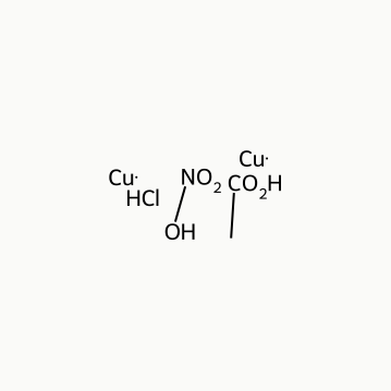 CC(=O)O.Cl.O=[N+]([O-])O.[Cu].[Cu]